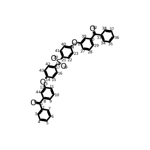 O=C(c1ccccc1)c1cccc(Oc2ccc(S(=O)(=O)c3ccc(Oc4cccc(C(=O)c5ccccc5)c4)cc3)cc2)c1